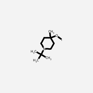 CC1(OI)CCN(C(C)(C)C)CC1